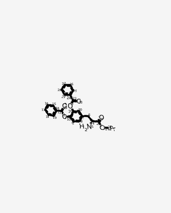 CC(C)OC(=O)[C@@H](N)Cc1ccc(OC(=O)c2ccccc2)c(OC(=O)c2ccccc2)c1